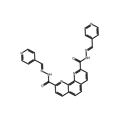 O=C(NN=Cc1ccncc1)c1ccc2ccc3ccc(C(=O)NN=Cc4ccncc4)nc3c2n1